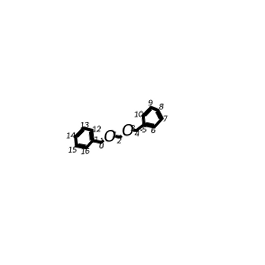 [CH](OCO[CH]c1ccccc1)c1ccccc1